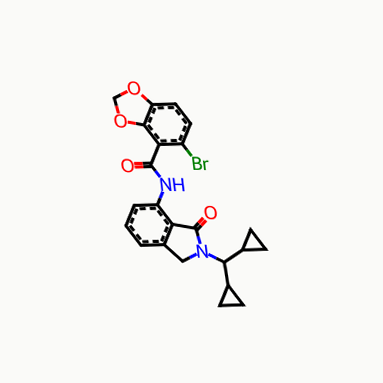 O=C(Nc1cccc2c1C(=O)N(C(C1CC1)C1CC1)C2)c1c(Br)ccc2c1OCO2